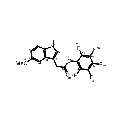 COc1ccc2[nH]cc(CC(=O)Oc3c(F)c(F)c(F)c(F)c3F)c2c1